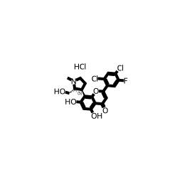 CN1CC[C@@H](c2c(O)cc(O)c3c(=O)cc(-c4cc(F)c(Cl)cc4Cl)oc23)[C@@H]1CO.Cl